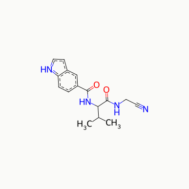 CC(C)C(NC(=O)c1ccc2[nH]ccc2c1)C(=O)NCC#N